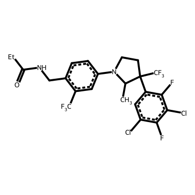 CCC(=O)NCc1ccc(N2CCC(c3cc(Cl)c(F)c(Cl)c3F)(C(F)(F)F)C2C)cc1C(F)(F)F